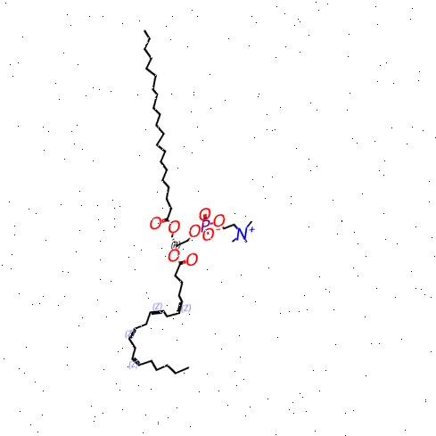 CCCCC/C=C\C/C=C\C/C=C\C/C=C\CCCC(=O)O[C@H](COC(=O)CCCCCCCCCCCCCCCCCCCC)COP(=O)([O-])OCC[N+](C)(C)C